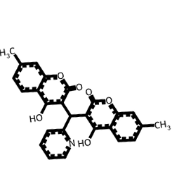 Cc1ccc2c(O)c(C(c3ccccn3)c3c(O)c4ccc(C)cc4oc3=O)c(=O)oc2c1